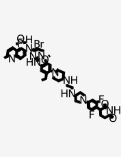 CCc1cc(Nc2ncc(Br)c(Nc3ccc4nc(C)ccc4c3P(C)(C)=O)n2)c(OC)cc1N1CCC(NCCNC2CCN(c3cc(F)c(C4CCC(=O)NC4=O)c(F)c3)CC2)CC1